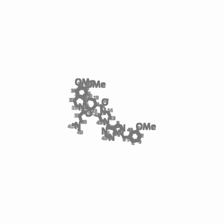 COc1cccc(Cn2ncc3c(N4CCN(C(=O)[C@H]5CC[C@]6(CC5)c5cc(OC)c(OC)cc5CCN6C(=O)CCN(C)C)CC4)ncnc32)c1